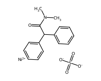 CN(C)C(=O)C(c1ccccc1)c1ccccc1.O=S(=O)([O-])[O-].[Ni+2]